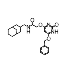 O=C(COc1cc(OCc2ccccc2)[nH]c(=O)n1)NCC1CC2CCCC(C2)C1